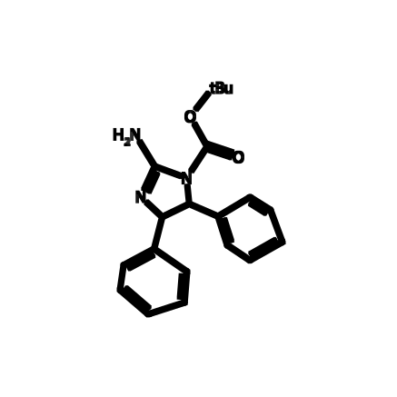 CC(C)(C)OC(=O)N1C(N)=NC(c2ccccc2)C1c1ccccc1